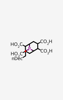 CCCCCCCCCCCCP1C2CC(C(=O)O)C(C(=O)O)C1CC(C(=O)O)C2C(=O)O